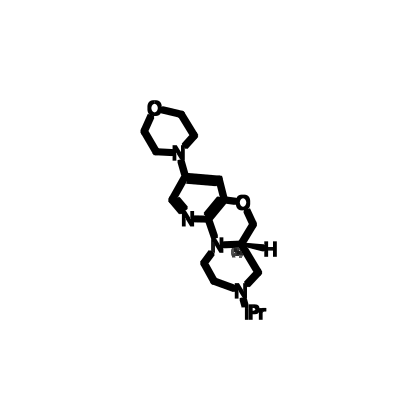 CC(C)N1CCN2c3ncc(N4CCOCC4)cc3OC[C@@H]2C1